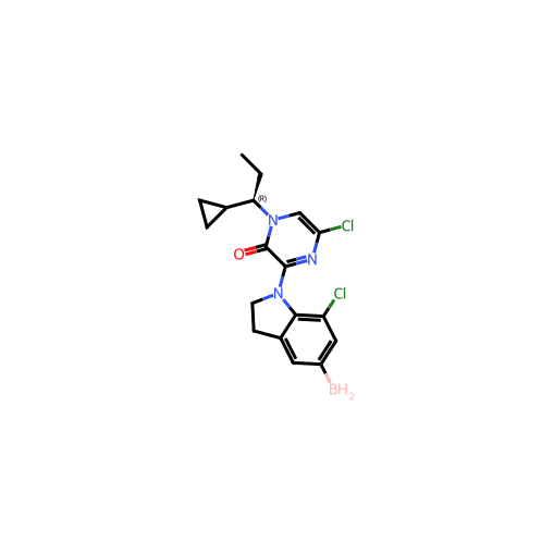 Bc1cc(Cl)c2c(c1)CCN2c1nc(Cl)cn([C@H](CC)C2CC2)c1=O